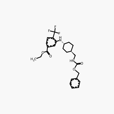 CCOC(=O)c1ccc(C(F)(F)F)c(N[C@H]2CC[C@H](CNC(=O)OCc3ccccc3)CC2)c1